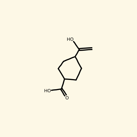 C=C(O)C1CCC(C(=O)O)CC1